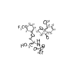 CCS(=O)(=O)NC(COc1cc(C(F)(F)F)ccc1[C@H]1CC(=O)c2cccc(Cl)c2O1)C(=O)O